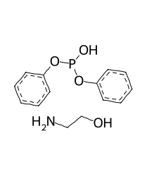 NCCO.OP(Oc1ccccc1)Oc1ccccc1